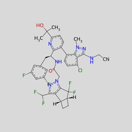 Cn1nc(NCC#N)c2c(Cl)ccc(-c3ccc(C(C)(C)O)nc3[C@H](Cc3cc(F)cc(F)c3)NC(=O)Cn3nc(C(F)F)c4c3C(F)(F)[C@@H]3CC[C@H]43)c21